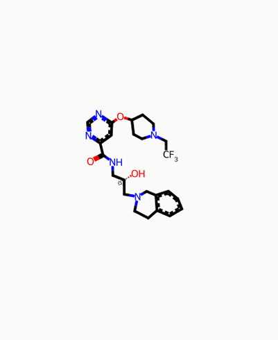 O=C(NC[C@H](O)CN1CCc2ccccc2C1)c1cc(OC2CCN(CC(F)(F)F)CC2)ncn1